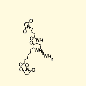 NCCCC[C@H](NC(=O)CCCN1C(=O)C=CC1=O)C(=O)C(N)CCCCCC(=O)ON1C(=O)CCC1=O